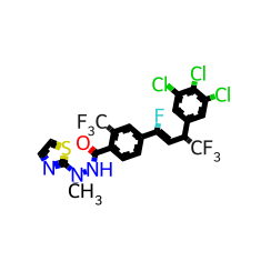 CN(NC(=O)c1ccc(/C(F)=C/C(c2cc(Cl)c(Cl)c(Cl)c2)C(F)(F)F)cc1C(F)(F)F)c1nccs1